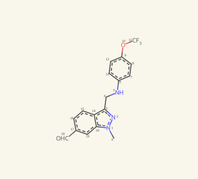 Cn1nc(CNc2ccc(OC(F)(F)F)cc2)c2ccc(C=O)cc21